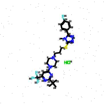 Cl.Cn1c(SCCCN2CCN(c3cc(C(F)(F)F)nc(C(C)(C)C)n3)CC2)nnc1-c1ccc(F)cc1